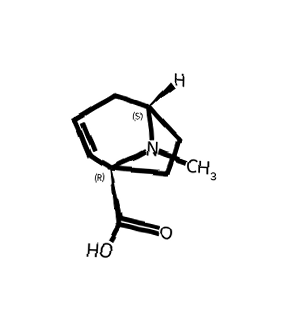 CN1[C@@H]2CC=C[C@@]1(C(=O)O)CC2